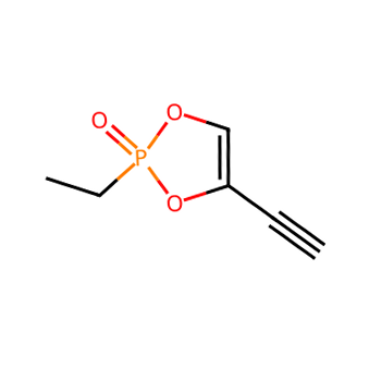 C#CC1=COP(=O)(CC)O1